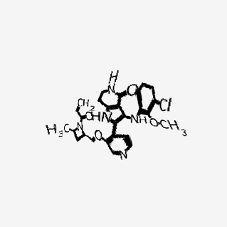 C=CC(=O)N1[C@@H](COc2cnccc2-c2[nH]c3c(c2Nc2cccc(Cl)c2OC)C(=O)NCC3)C[C@H]1C